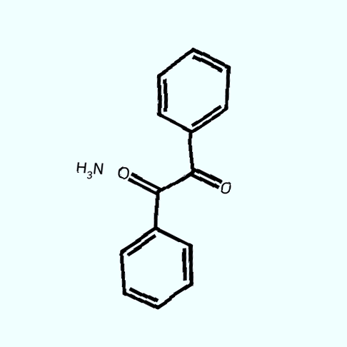 N.O=C(C(=O)c1ccccc1)c1ccccc1